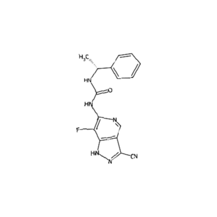 C[C@@H](NC(=O)Nc1ncc2c(C#N)n[nH]c2c1F)c1ccccc1